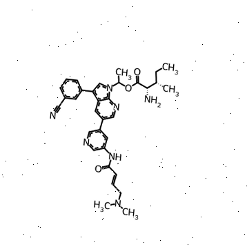 CC[C@H](C)[C@H](N)C(=O)OC(C)n1cc(-c2cccc(C#N)c2)c2cc(-c3cncc(NC(=O)/C=C/CN(C)C)c3)cnc21